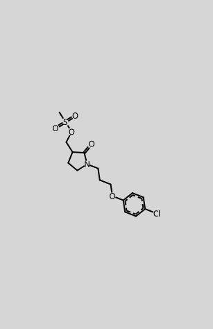 CS(=O)(=O)OCC1CCN(CCCOc2ccc(Cl)cc2)C1=O